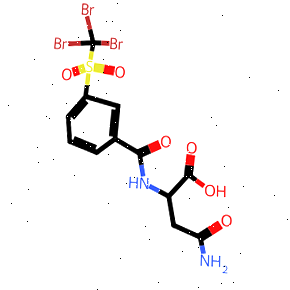 NC(=O)CC(NC(=O)c1cccc(S(=O)(=O)C(Br)(Br)Br)c1)C(=O)O